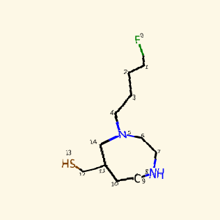 FCCCCN1CCNCCC(CS)C1